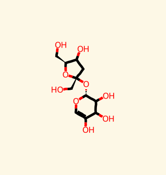 OC[C@@H]1O[C@@](CO)(O[C@H]2OC=C(O)C(O)C2O)CC1O